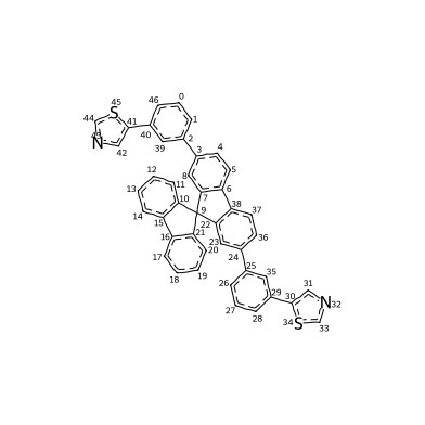 c1cc(-c2ccc3c(c2)C2(c4ccccc4-c4ccccc42)c2cc(-c4cccc(-c5cncs5)c4)ccc2-3)cc(-c2cncs2)c1